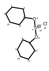 C1CCC([O][Ti+2][O]C2CCCCC2)CC1.[Cl-].[Cl-]